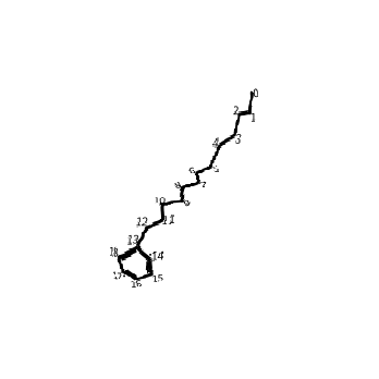 CCCCCCCCCCCCCc1[c]cc[c]c1